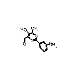 Nc1cccc(-c2nc(O)c(O)c(C=O)n2)c1